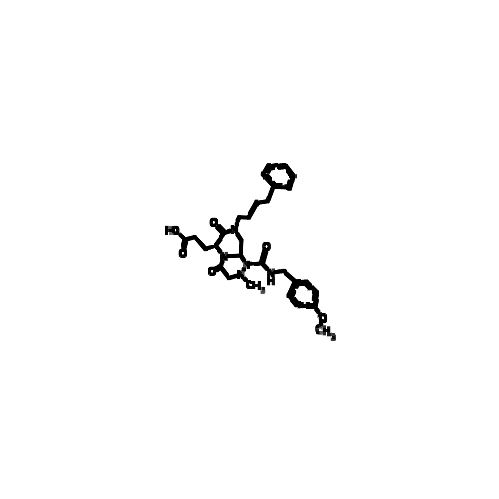 COc1ccc(CNC(=O)N2C3CN(CCCCc4ccccc4)C(=O)[C@H](CCC(=O)O)N3C(=O)CN2C)cc1